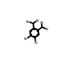 Brc1cc(C(Br)Br)c(C(Br)Br)cc1Br